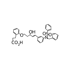 O=C(O)CCc1ccccc1OCCC(O)/C=C/c1cccc(N(Cc2ccccc2)S(=O)(=O)c2ccccc2)c1